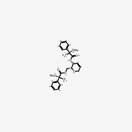 CO[C@](C(=O)OC[C@@H]1OCC=C[C@@H]1OC(=O)[C@@](OC)(c1ccccc1)C(F)(F)F)(c1ccccc1)C(F)(F)F